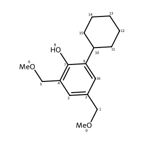 COCc1cc(COC)c(O)c(C2CCCCC2)c1